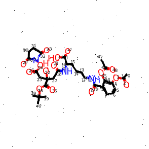 CC(=O)Oc1cccc(C(=O)NCCCCC(NC(=O)CC(O)(CC(=O)ON2C(=O)CCC2=O)C(=O)OC(C)(C)C)C(=O)O)c1OC(C)=O